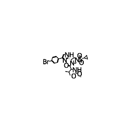 COC(=O)NC(C(=O)N1CN(S(=O)(=O)C2CC2)C[C@H]1c1nc(-c2ccc(Br)cc2)c[nH]1)C(C)C